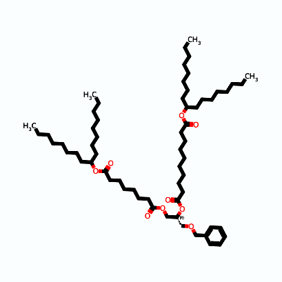 CCCCCCCCC(CCCCCCCC)OC(=O)CCCCCCCCC(=O)O[C@H](COCc1ccccc1)COC(=O)CCCCCCC(=O)OC(CCCCCCCC)CCCCCCCC